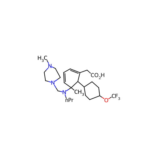 CCCN(CN1CCN(C)CC1)C1(C)C=CC=C(CC(=O)O)C1C1CCC(OC(F)(F)F)CC1